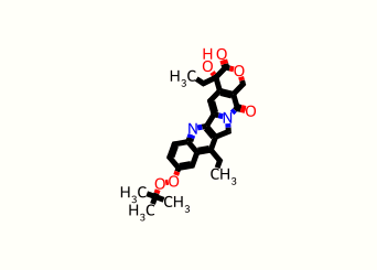 CCc1c2c(nc3ccc(OOC(C)(C)C)cc13)-c1cc3c(c(=O)n1C2)COC(=O)C3(O)CC